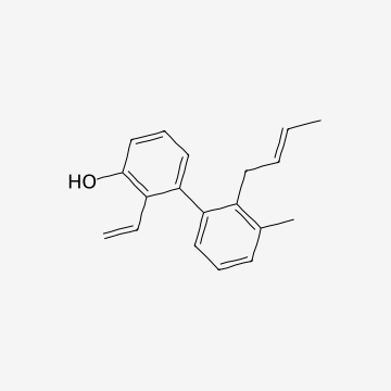 C=Cc1c(O)cccc1-c1cccc(C)c1CC=CC